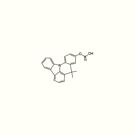 CC1(C)c2cc(OBO)ccc2-n2c3ccccc3c3cccc1c32